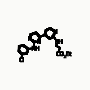 CCOC(=O)CCNc1cc(-c2ccnc(Nc3cccc(Cl)c3)n2)ccn1